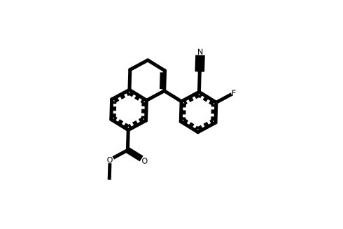 COC(=O)c1ccc2c(c1)C(c1cccc(F)c1C#N)=CCC2